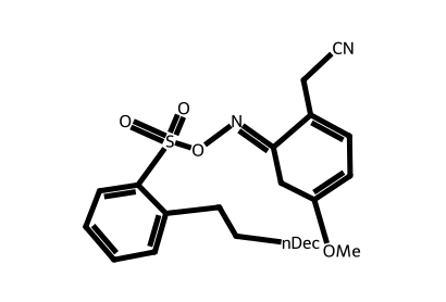 CCCCCCCCCCCCc1ccccc1S(=O)(=O)ON=C1CC(OC)=CC=C1CC#N